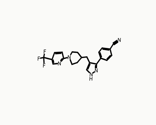 N#Cc1ccc(-c2n[nH]cc2CC2CCN(c3ccc(C(F)(F)F)cn3)CC2)cc1